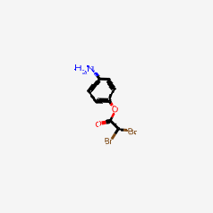 Nc1ccc(OC(=O)C(Br)Br)cc1